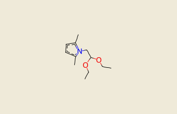 CCOC(Cn1c(C)ccc1C)OCC